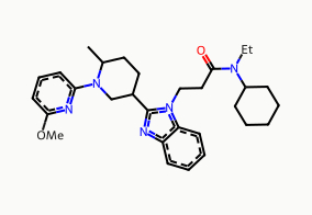 CCN(C(=O)CCn1c(C2CCC(C)N(c3cccc(OC)n3)C2)nc2ccccc21)C1CCCCC1